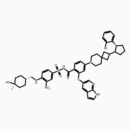 CC(C)c1ccccc1[C@H]1CCCC1C1CC2(CCN(c3ccc(C(=O)NS(=O)(=O)c4ccc(NC[C@H]5CC[C@](C)(O)CC5)c([N+](=O)[O-])c4)c(Oc4cnc5[nH]ccc5c4)c3)CC2)C1